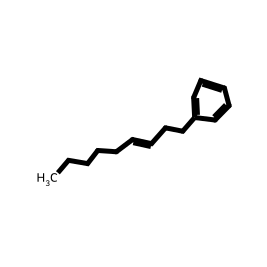 CCCCCC=CCCc1ccccc1